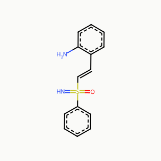 N=S(=O)(C=Cc1ccccc1N)c1ccccc1